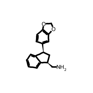 NC[C@@H]1C[C@H](c2ccc3c(c2)OCO3)c2ccccc21